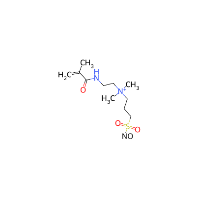 C=C(C)C(=O)NCC[N+](C)(C)CCCS(=O)(=O)N=O